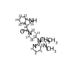 CCN(C)c1cccnc1N(C)C1CCN(C(=O)c2c[nH]c3ccccc23)CC1